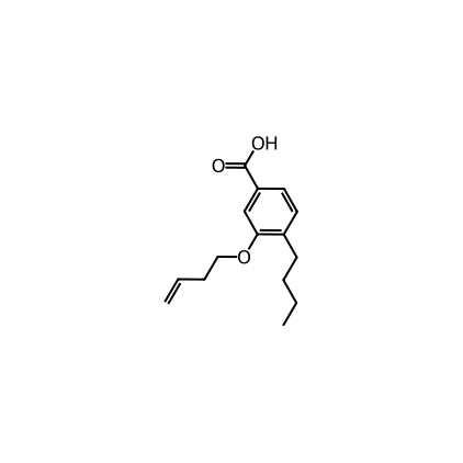 C=CCCOc1cc(C(=O)O)ccc1CCCC